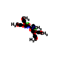 COc1ccc(COc2ccc(C(=O)NCCCN(C[C@@H](C)N3CCCC3)C(=O)c3ccc(OCc4ccc(OC)cc4)c(OCc4ccc(OC)cc4)c3Cl)c(Cl)c2OCc2ccc(OC)cc2)cc1